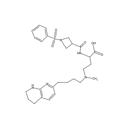 CN(CCCCc1ccc2c(n1)NCCC2)CCC(NC(=O)C1CN(S(=O)(=O)c2ccccc2)C1)C(=O)O